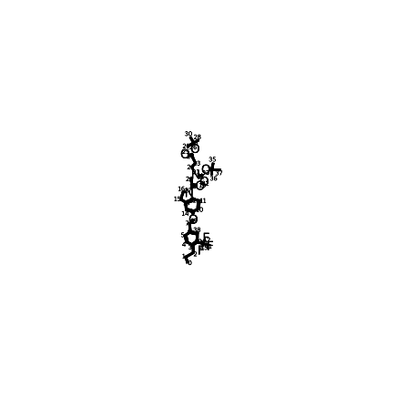 CCCc1ccc(COc2ccc3c(c2)CCN3C(=O)CN(CCC(=O)OC(C)(C)C)C(=O)OC(C)(C)C)cc1C(F)(F)F